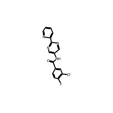 O=C(Nc1cnc(-c2ccccn2)nc1)c1ccc(F)c(Cl)c1